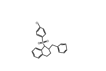 O=S(=O)(c1ccc(Cl)cc1)C1c2ccccc2CCC1Cc1ccccc1